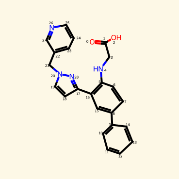 O=C(O)CNc1ccc(-c2ccccc2)cc1-c1ccn(Cc2cccnc2)n1